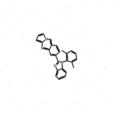 Cc1cccc(C)c1-n1c(-c2ccc3cn4cccc4nc3c2)nc2ccccc21